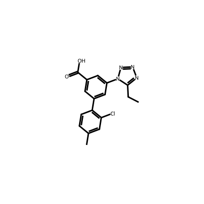 CCc1nnnn1-c1cc(C(=O)O)cc(-c2ccc(C)cc2Cl)c1